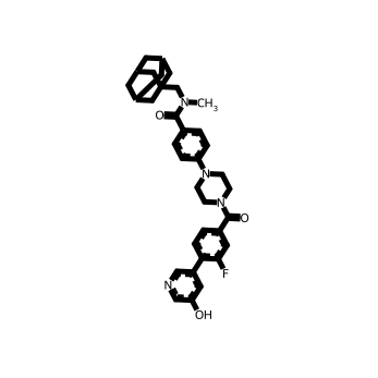 CN(CC12CC3CC(CC(C3)C1)C2)C(=O)c1ccc(N2CCN(C(=O)c3ccc(-c4cncc(O)c4)c(F)c3)CC2)cc1